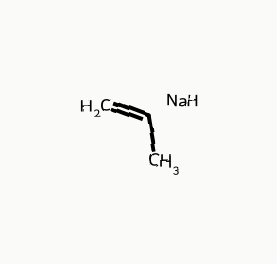 C=CC.[NaH]